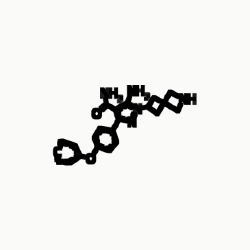 NC(=O)c1c(-c2ccc(Oc3ccccc3)cc2)nn(C2CC3(CNC3)C2)c1N